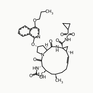 CCCOc1cnc(O[C@@H]2C[C@H]3C(=O)N[C@]4(C(=O)NS(=O)(=O)C5CC5)C[C@H]4/C=C\CC[C@@H](C)C[C@@H](C)[C@H](NC(=O)O)C(=O)N3C2)c2ccccc12